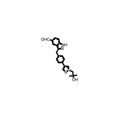 CC(C)(O)Cn1cc(-c2ccc(Cc3n[nH]c4ccc(C=O)cc34)cc2)cn1